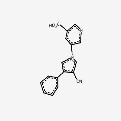 N#Cc1cn(-c2cncc(C(=O)O)c2)cc1-c1ccccc1